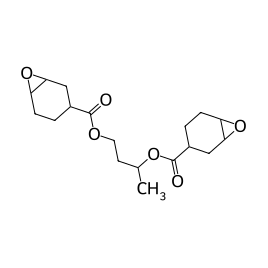 CC(CCOC(=O)C1CCC2OC2C1)OC(=O)C1CCC2OC2C1